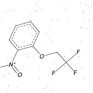 O=[N+]([O-])c1cc[c]cc1OCC(F)(F)F